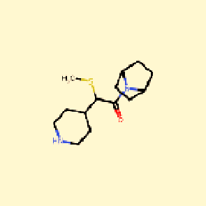 CSC(C(=O)N1C2CCC1CC2)C1CCNCC1